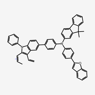 C=Cc1c(/C=C\C)n(-c2ccccc2)c2ccc(-c3ccc(N(c4ccc(-c5cc6ccccc6o5)cc4)c4ccc5c(c4)C(C)(C)c4ccccc4-5)cc3)cc12